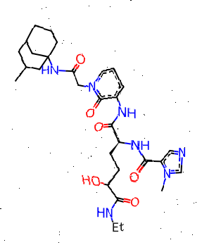 CCNC(=O)C(O)CC[C@H](NC(=O)c1cncn1C)C(=O)Nc1cccn(CC(=O)NC23CCCC(CC(C)C2)C3)c1=O